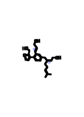 CC(C)=CCC/C(=C/CO)Cc1ccc(-c2ccoc2CO)c(/C=C/CO)c1